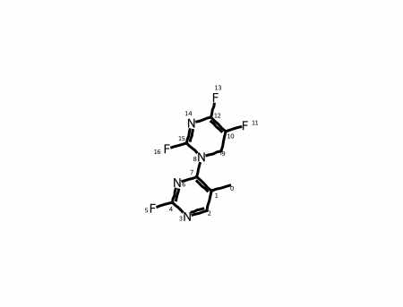 Cc1cnc(F)nc1N1[CH]C(F)=C(F)N=C1F